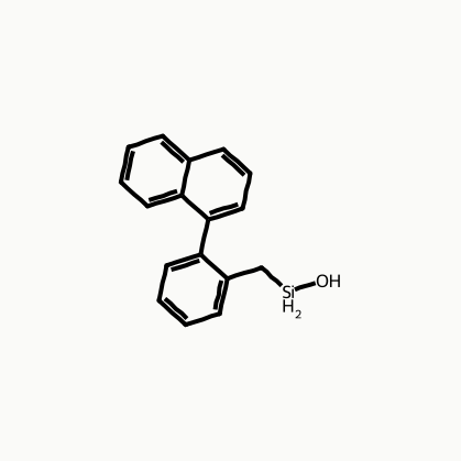 O[SiH2]Cc1ccccc1-c1cccc2ccccc12